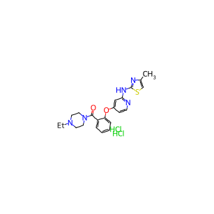 CCN1CCN(C(=O)c2ccccc2Oc2ccnc(Nc3nc(C)cs3)c2)CC1.Cl.Cl